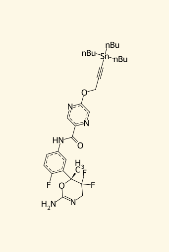 CCC[CH2][Sn]([C]#CCOc1cnc(C(=O)Nc2ccc(F)c([C@@]3(C)OC(N)=NCC3(F)F)c2)cn1)([CH2]CCC)[CH2]CCC